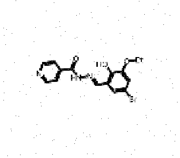 CCOc1cc(Br)cc(C=NNC(=O)c2ccncc2)c1O